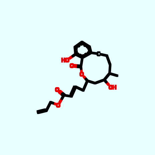 C=CCOC(=O)/C=C/CC1CC(O)C(C)CCCc2cccc(O)c2C(=O)O1